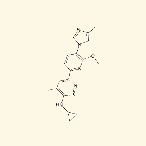 COc1nc(-c2cc(C)c(NC3CC3)nn2)ccc1-n1cnc(C)c1